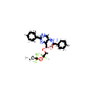 CC(F)(F)OC(F)(F)COCc1nc(-c2ccccc2)ncc1NC(=O)c1ccccc1